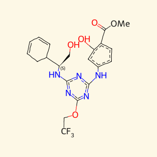 COC(=O)c1ccc(Nc2nc(N[C@H](CO)C3C=CC=CC3)nc(OCC(F)(F)F)n2)cc1O